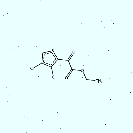 CCOC(=O)C(=O)c1scc(Cl)c1Cl